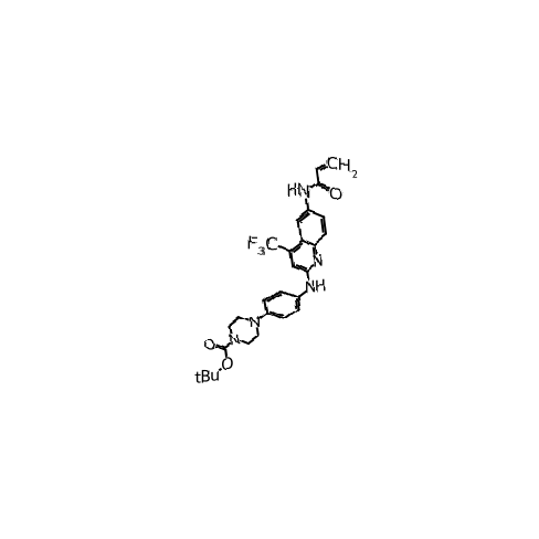 C=CC(=O)Nc1ccc2nc(Nc3ccc(N4CCN(C(=O)OC(C)(C)C)CC4)cc3)cc(C(F)(F)F)c2c1